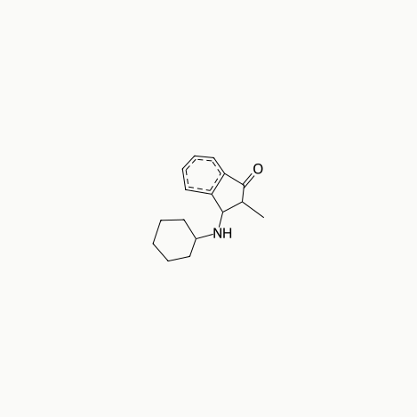 CC1C(=O)c2ccccc2C1NC1CCCCC1